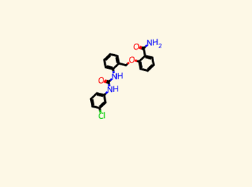 NC(=O)c1ccccc1OCc1ccccc1NC(=O)Nc1cccc(Cl)c1